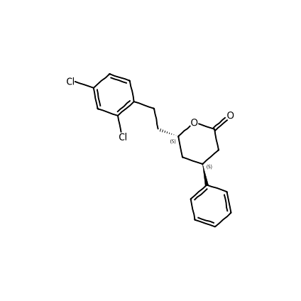 O=C1C[C@@H](c2ccccc2)C[C@H](CCc2ccc(Cl)cc2Cl)O1